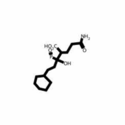 NC(=O)CCC(C(=O)O)C(O)(CCC1CCCCC1)P=O